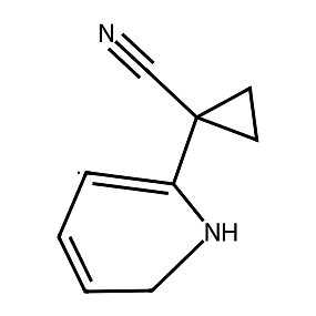 N#CC1(C2=[C]C=CCN2)CC1